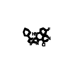 Fc1ccc(Nc2c(-c3ccncc3Cl)nc3scc(C4=CC=CCC4)n23)cc1